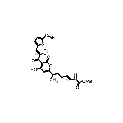 COC(=O)N/C=C/CCC(C)c1cc(O)c(C(=O)/C(C)=C/c2ccc(OC(C)C)s2)c(=O)o1